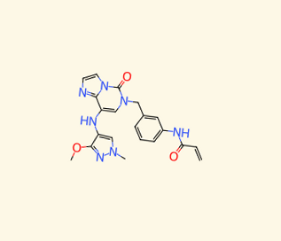 C=CC(=O)Nc1cccc(Cn2cc(Nc3cn(C)nc3OC)c3nccn3c2=O)c1